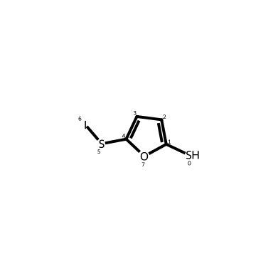 Sc1ccc(SI)o1